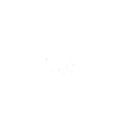 Cc1cc(C)n(-c2cc(NC(=O)CN3CC[C@H](OC(C)C)C3)nc(-c3ccc(C)o3)n2)n1